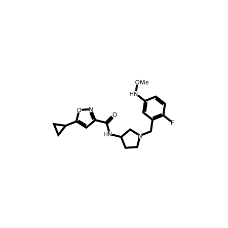 CONc1ccc(F)c(CN2CCC(NC(=O)c3cc(C4CC4)on3)C2)c1